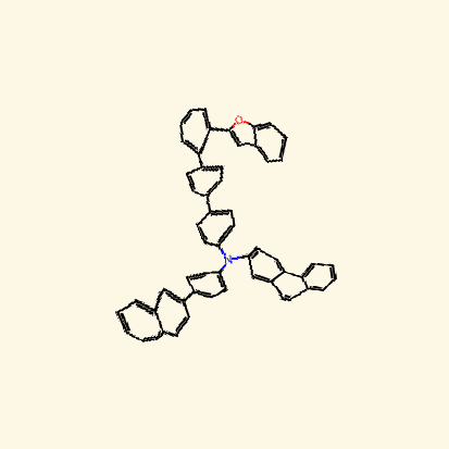 c1ccc(-c2cc3ccccc3o2)c(-c2ccc(-c3ccc(N(c4ccc(-c5ccc6ccccc6c5)cc4)c4ccc5c(ccc6ccccc65)c4)cc3)cc2)c1